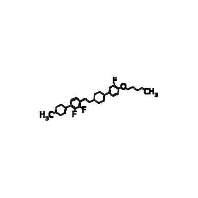 CCCCCOc1ccc(C2CCC(CCc3ccc(C4CCC(C)CC4)c(F)c3F)CC2)cc1F